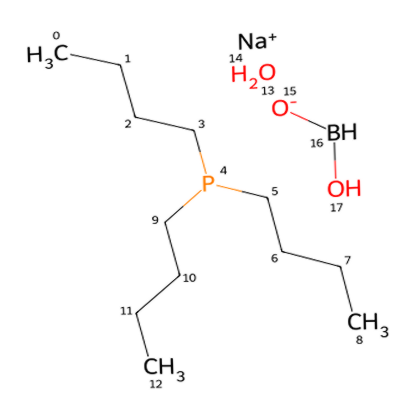 CCCCP(CCCC)CCCC.O.[Na+].[O-]BO